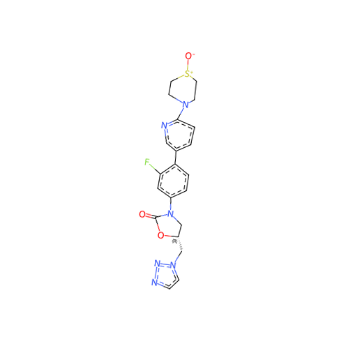 O=C1O[C@@H](Cn2ccnn2)CN1c1ccc(-c2ccc(N3CC[S+]([O-])CC3)nc2)c(F)c1